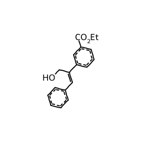 CCOC(=O)c1cccc(/C(=C/c2ccccc2)CO)c1